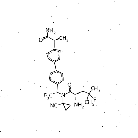 C[C@H](C(N)=O)c1ccc(-c2ccc([C@H](N(C(=O)[C@@H](N)CC(C)(C)F)C3(C#N)CC3)C(F)(F)F)cc2)cc1